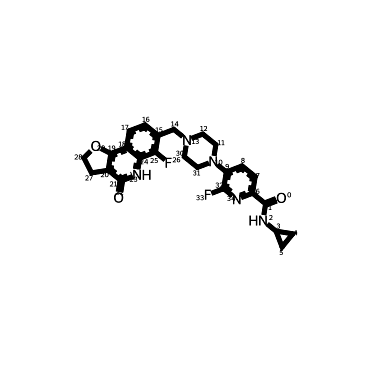 O=C(NC1CC1)c1ccc(N2CCN(Cc3ccc4c5c(c(=O)[nH]c4c3F)CCO5)CC2)c(F)n1